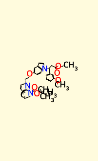 CCOC(=O)CC(c1cccc(OC)c1)n1ccc2cc(OCCc3ccc4c(n3)N(C(=O)OC(C)(C)C)CCC4)ccc21